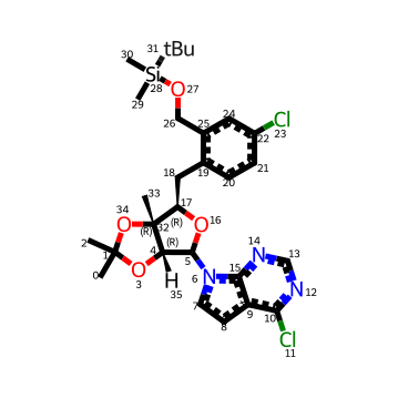 CC1(C)O[C@H]2C(n3ccc4c(Cl)ncnc43)O[C@H](Cc3ccc(Cl)cc3CO[Si](C)(C)C(C)(C)C)[C@@]2(C)O1